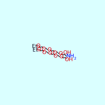 CCOCCOCCOCCOCCOCC(O)CN.CCOCCOCCOCCOCCOCCO